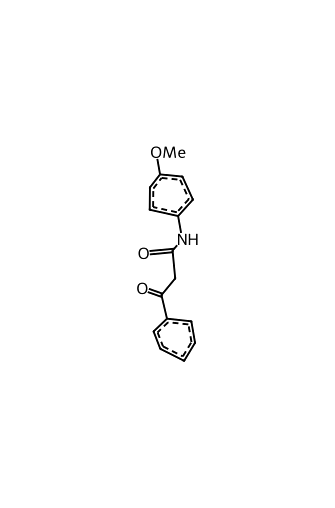 COc1ccc(NC(=O)CC(=O)c2ccccc2)cc1